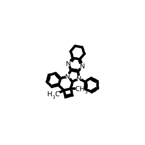 CC12C=CC1(C)C1N(c3ccccc3)c3nc4c(nc3N1c1ccccc12)CCCC4